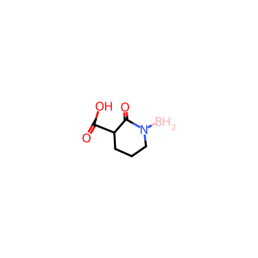 BN1CCCC(C(=O)O)C1=O